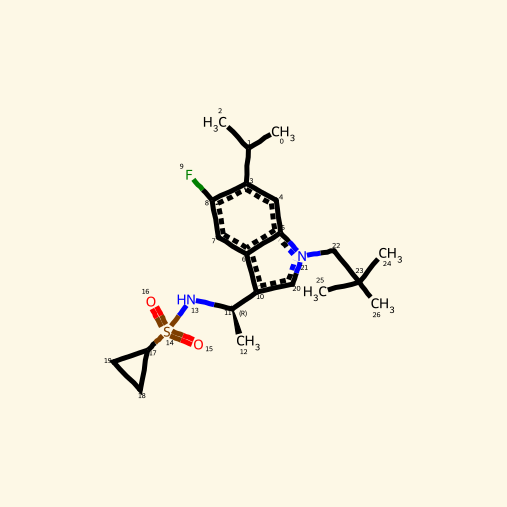 CC(C)c1cc2c(cc1F)c([C@@H](C)NS(=O)(=O)C1CC1)cn2CC(C)(C)C